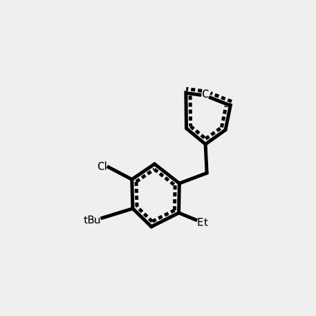 CCc1cc(C(C)(C)C)c(Cl)cc1Cc1ccccc1